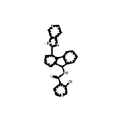 O=C(NC1c2ccccc2-c2c(-c3nc4ccncc4[nH]3)cccc21)c1ccncc1O